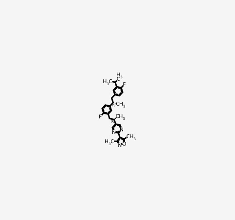 Cc1noc(C)c1-c1ncc([C@H](C)Cc2cc([C@@H](C)Cc3ccc(F)c(C(C)C)c3)ccc2F)cn1